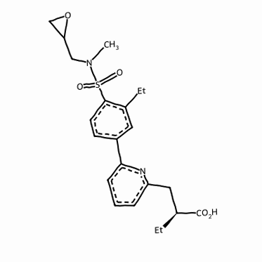 CCc1cc(-c2cccc(C[C@H](CC)C(=O)O)n2)ccc1S(=O)(=O)N(C)CC1CO1